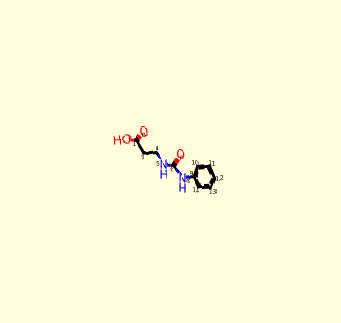 O=C(O)CCNC(=O)Nc1ccccc1